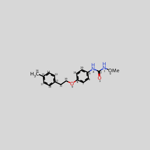 CONC(=O)Nc1ccc(OCCc2ccc(C)cc2)cc1